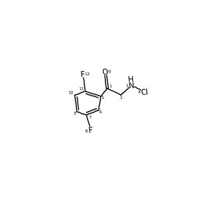 O=C(CNCl)c1cc(F)ccc1F